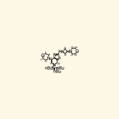 CCC[CH2][Sn]([CH2]CCC)([CH2]CCC)[N]1C=C(N2CCOCC2)c2nc(CN3CC(N4CCOCC4)C3)sc2C1